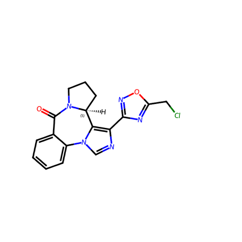 O=C1c2ccccc2-n2cnc(-c3noc(CCl)n3)c2[C@@H]2CCCN12